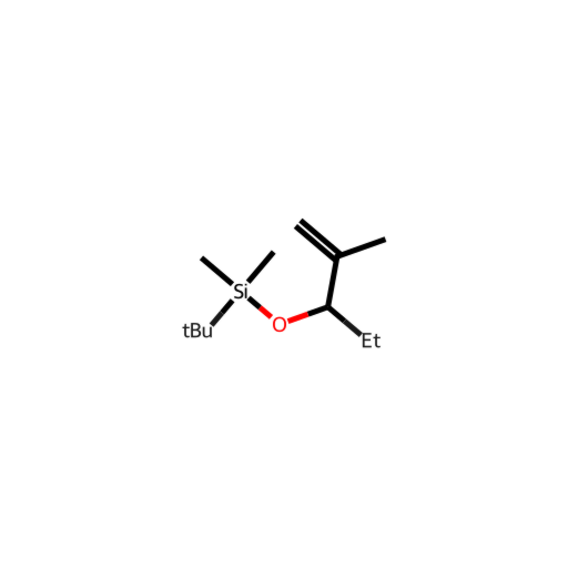 C=C(C)C(CC)O[Si](C)(C)C(C)(C)C